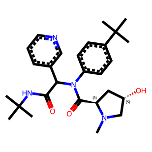 CN1C[C@@H](O)C[C@@H]1C(=O)N(c1ccc(C(C)(C)C)cc1)C(C(=O)NC(C)(C)C)c1cccnc1